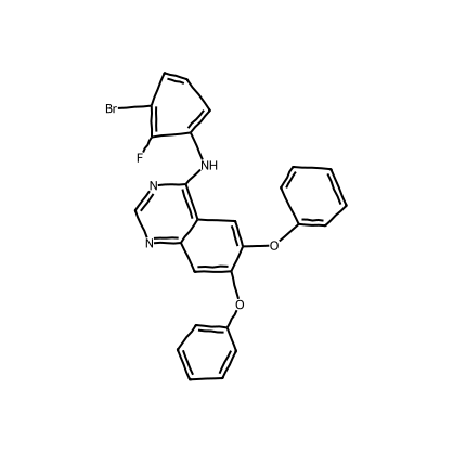 Fc1c(Br)cccc1Nc1ncnc2cc(Oc3ccccc3)c(Oc3ccccc3)cc12